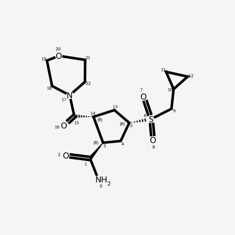 NC(=O)[C@@H]1C[C@@H](S(=O)(=O)CC2CC2)C[C@H]1C(=O)N1CCOCC1